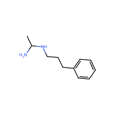 CC(N)NCCCc1ccccc1